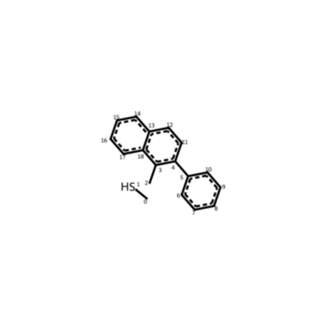 CS.Cc1c(-c2ccccc2)ccc2ccccc12